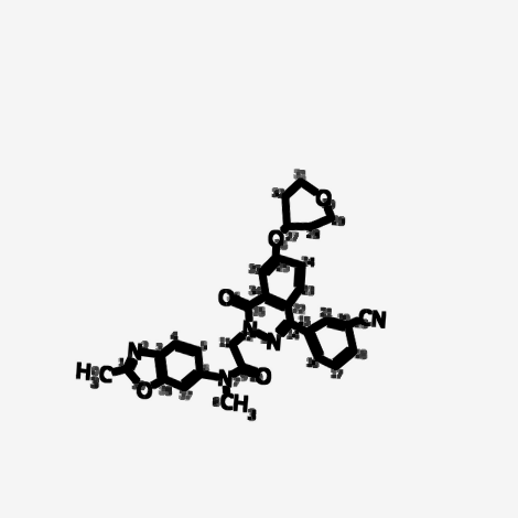 Cc1nc2ccc(N(C)C(=O)Cn3nc(-c4cccc(C#N)c4)c4ccc(OC5CCOCC5)cc4c3=O)cc2o1